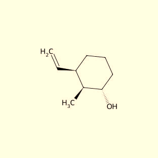 C=C[C@H]1CCC[C@H](O)[C@H]1C